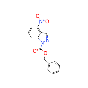 O=C(OCc1ccccc1)n1ncc2c([N+](=O)[O-])cccc21